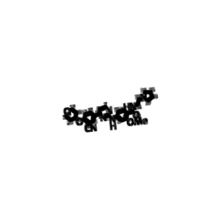 COc1cc(Nc2nccc(-c3ccc(OC4CCOCC4)c(C#N)c3)n2)ccc1C(=O)NCCN1CCCC1